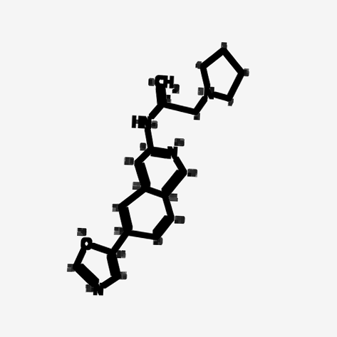 C=C(CN1CCCC1)Nc1cc2cc(-c3cnco3)ccc2cn1